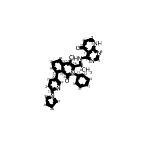 C[C@H](Nc1ncnc2[nH]ccc(=O)c12)c1c(Cl)c2cccc(-c3ccc(-n4cccc4)nc3)c2c(=O)n1-c1ccccc1